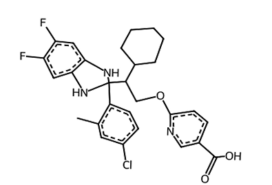 Cc1cc(Cl)ccc1C1(C(COc2ccc(C(=O)O)cn2)C2CCCCC2)Nc2cc(F)c(F)cc2N1